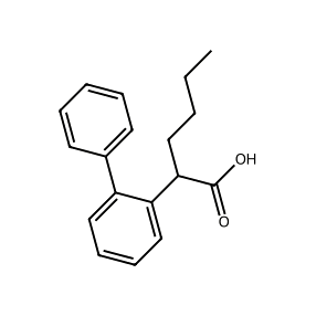 CCCCC(C(=O)O)c1ccccc1-c1ccccc1